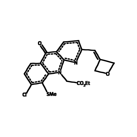 CCOC(=O)Cn1c2nc(C=C3COC3)ccc2c(=O)c2ccc(Cl)c(SC)c21